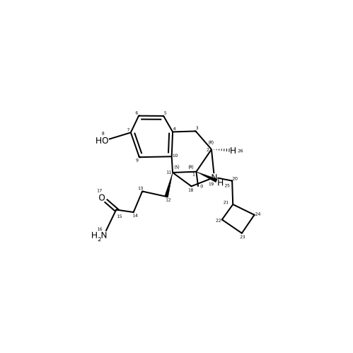 C[C@H]1[C@H]2Cc3ccc(O)cc3[C@@]1(CCCC(N)=O)CN2CC1CCC1